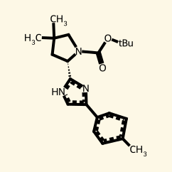 Cc1ccc(-c2c[nH]c([C@@H]3CC(C)(C)CN3C(=O)OC(C)(C)C)n2)cc1